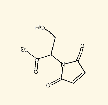 CCC(=O)C(CO)N1C(=O)C=CC1=O